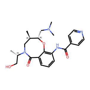 C[C@@H]1CN([C@@H](C)CO)C(=O)c2cccc(NC(=O)c3ccncc3)c2O[C@H]1CN(C)C